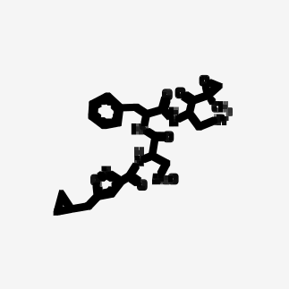 COCC(NC(=O)c1cc(CC2CC2)on1)C(=O)NC(Cc1ccccc1)C(=O)NC(CC(C)C)C(=O)[C@@]1(C)CO1